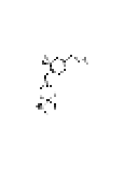 CCN1CCN(CN2CCC3(CCCN3)CC2)C2(CC2)C1